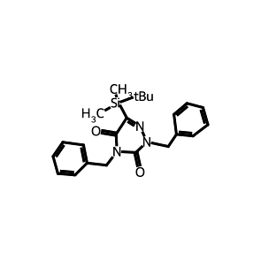 CC(C)(C)[Si](C)(C)c1nn(Cc2ccccc2)c(=O)n(Cc2ccccc2)c1=O